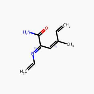 C=C/N=C(\C=C(\C)C=C)C(N)=O